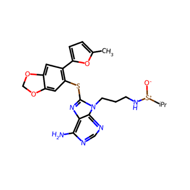 Cc1ccc(-c2cc3c(cc2Sc2nc4c(N)ncnc4n2CCCN[S+]([O-])C(C)C)OCO3)o1